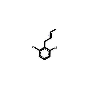 C/C=C/Cc1c(Cl)cccc1Cl